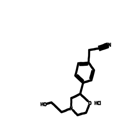 Cl.N#CCc1ccc(C2CN(CCO)CCO2)cc1